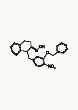 O=[N+]([O-])c1ccc(CC2C(=NO)CCc3ccccc32)cc1OCc1ccccc1